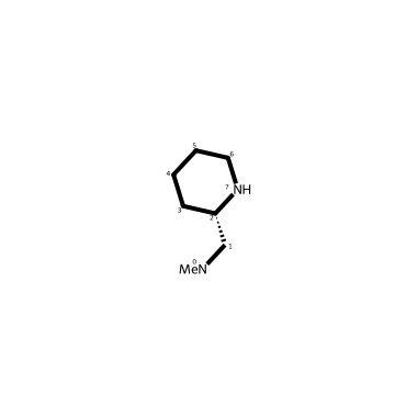 CNC[C@@H]1CCCCN1